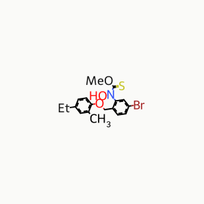 CCc1ccc(OCc2ccc(Br)cc2N(O)C(=S)OC)c(C)c1